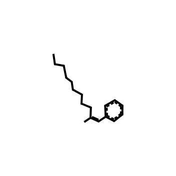 CCCCCCCCCC(C)=Cc1ccccc1